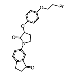 CC(C)CCOc1ccc(OC2CCN(c3ccc4c(c3)C(=O)CC4)C2=O)cc1